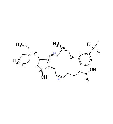 CC[Si](CC)(CC)OC1C[C@H](O)[C@H](C/C=C\CCCC(=O)O)[C@H]1/C=C/[C@@H](C)COc1cccc(C(F)(F)F)c1